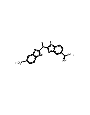 CC(c1nc2cc(C(=N)N)ccc2[nH]1)c1nc2cc(C(=O)O)ccc2[nH]1